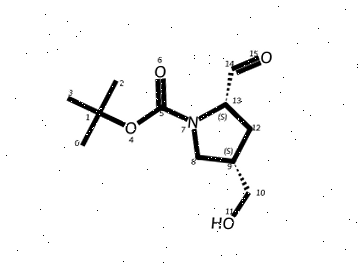 CC(C)(C)OC(=O)N1C[C@@H](CO)C[C@H]1C=O